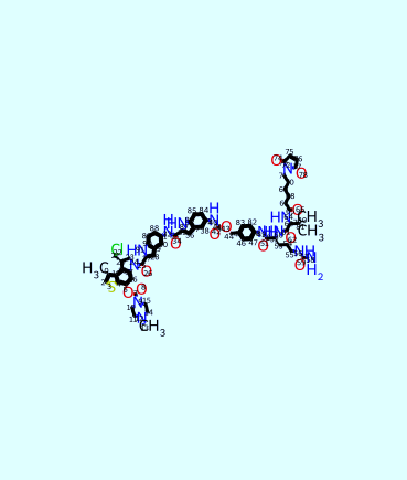 Cc1csc2c(OC(=O)N3CCN(C)CC3)cc3c(c12)[C@@H](CCl)CN3C(=O)c1cc2cc(NC(=O)c3cc4cc(NC(=O)OCc5ccc(NC(=O)[C@H](CCCNC(N)=O)NC(=O)[C@@H](NC(=O)CCCCCN6C(=O)C=CC6=O)C(C)C)cc5)ccc4[nH]3)ccc2[nH]1